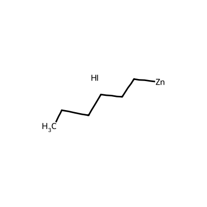 CCCCC[CH2][Zn].I